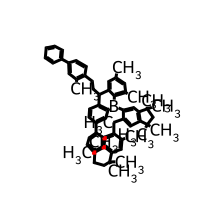 Cc1cc(C)c2c(c1)C(CCc1ccc(-c3ccccc3)cc1C)c1ccc(-c3ccccc3)cc1B2c1cc2c(cc1C(C)c1cc3c(cc1C)C(C)(C)CCC3(C)C)C(C)(C)CC2(C)C